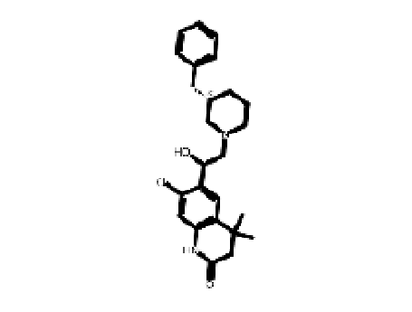 CC1(C)CC(=O)Nc2cc(Cl)c(C(O)CN3CCC[C@@H](Cc4ccccc4)C3)cc21